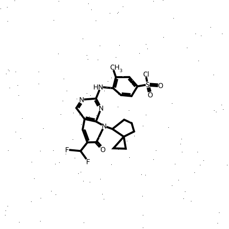 Cc1cc(S(=O)(=O)Cl)ccc1Nc1ncc2cc(C(F)F)c(=O)n(C3CCCC34CC4)c2n1